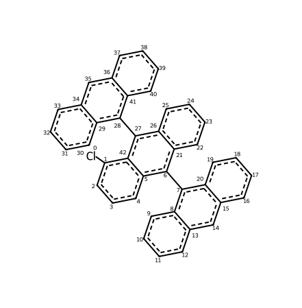 Clc1cccc2c(-c3c4ccccc4cc4ccccc34)c3ccccc3c(-c3c4ccccc4cc4ccccc34)c12